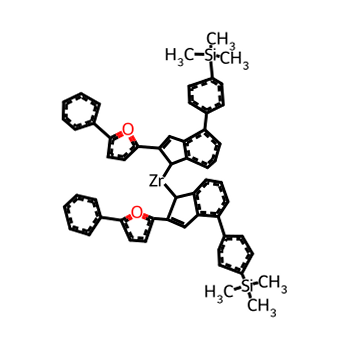 C[Si](C)(C)c1ccc(-c2cccc3c2C=C(c2ccc(-c4ccccc4)o2)[CH]3[Zr][CH]2C(c3ccc(-c4ccccc4)o3)=Cc3c(-c4ccc([Si](C)(C)C)cc4)cccc32)cc1